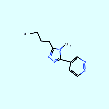 Cn1c(CCCC=O)nnc1-c1ccnnc1